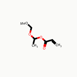 C=CC(=O)OC(C)OCOC